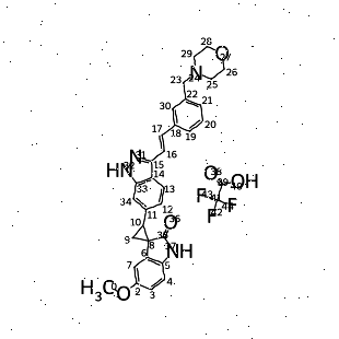 COc1ccc2c(c1)C1(CC1c1ccc3c(/C=C/c4cccc(CN5CCOCC5)c4)n[nH]c3c1)C(=O)N2.O=C(O)C(F)(F)F